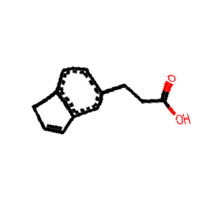 O=C(O)CCc1ccc2c(c1)C=CC2